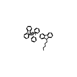 CCCCCC1c2ccccc2-c2ccccc21.c1ccc(Pc2ccccc2)cc1.c1ccc2c(c1)[nH]c1ccccc12